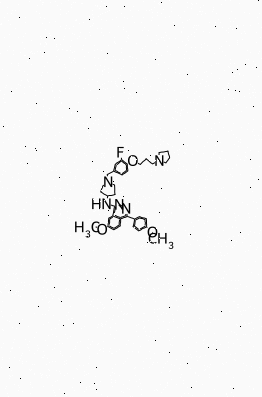 COc1ccc(-c2nnc(NC3CCN(Cc4ccc(OCCCN5CCCC5)c(F)c4)CC3)c3cc(OC)ccc23)cc1